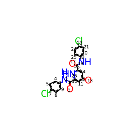 O=C(Nc1ccc(Cl)cc1)c1cc(=O)cc(C(=O)Nc2ccc(Cl)cc2)[nH]1